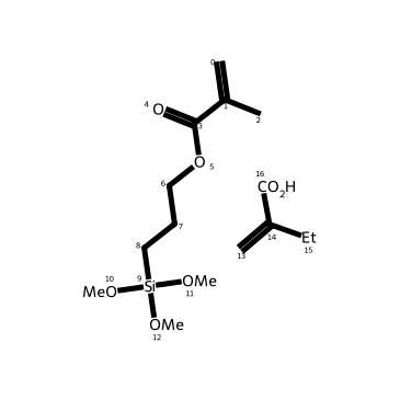 C=C(C)C(=O)OCCC[Si](OC)(OC)OC.C=C(CC)C(=O)O